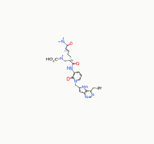 CC(C)Cc1ncnc2cc(Cn3cccc(NC(=O)[C@@H](CC/C=C/C(=O)N(C)C)CN(C)C(=O)O)c3=O)[nH]c12